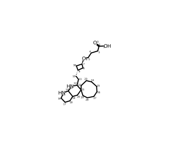 O=C(O)CCCO[C@H]1C[C@H](CCC2NC3NCCCC3CC23CCCCCCCC3)C1